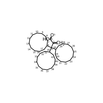 C=C(C(=O)O)C(C1CCCCCCCCCCC1)(C1CCCCCCCCCCC1)C1CCCCCCCCCCC1